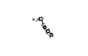 CC1CCCN(CCCOc2ccc([C@H]3CC[C@H](N4CCOCC4)CC3)cc2)C1